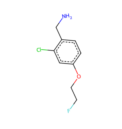 NCc1ccc(OCCF)cc1Cl